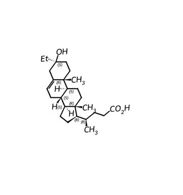 CC[C@]1(O)CC[C@@]2(C)C(=CC[C@H]3[C@@H]4CC[C@H]([C@H](C)CCC(=O)O)[C@@]4(C)CC[C@@H]32)C1